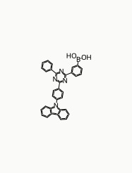 OB(O)c1cccc(-c2nc(-c3ccccc3)nc(-c3ccc(-n4c5ccccc5c5ccccc54)cc3)n2)c1